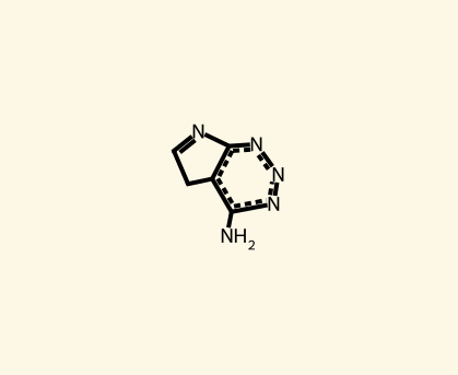 Nc1nnnc2c1CC=N2